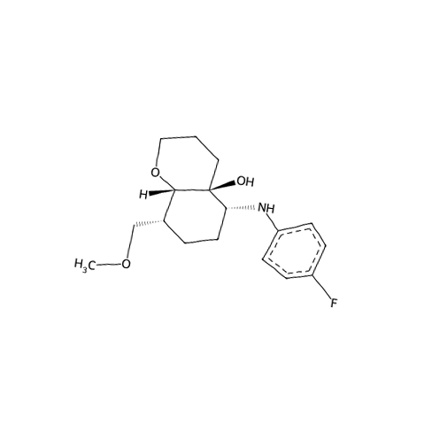 COC[C@H]1CC[C@@H](Nc2ccc(F)cc2)[C@@]2(O)CCCO[C@@H]12